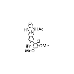 COc1cc(OC)c(C(C)C)c(-c2cc3cnc(N[C@@H]4COC[C@@H]4NC(C)=O)cc3cn2)c1Cl